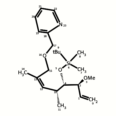 C=C[C@H](OC)[C@@H](O[Si](C)(C)C(C)(C)C)[C@H](C)/C=C(/C)COCc1ccccn1